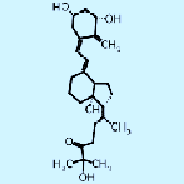 C=C1/C(=C\C=C2/CCC[C@@]3(C)C2CC[C@@H]3[C@@H](C)CCC(=O)C(C)(C)O)C[C@@H](O)C[C@@H]1O